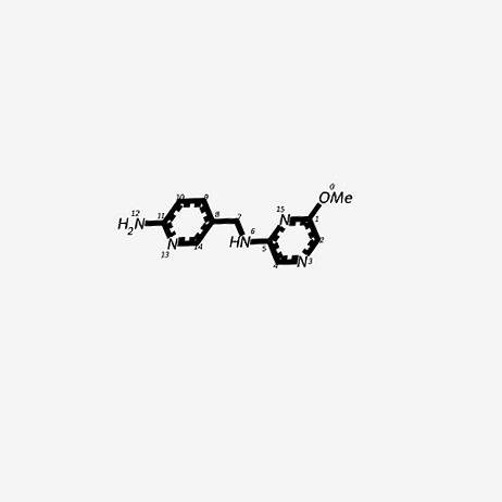 COc1cncc(NCc2ccc(N)nc2)n1